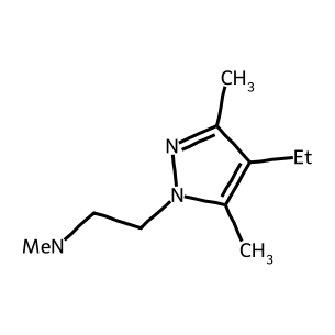 CCc1c(C)nn(CCNC)c1C